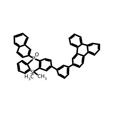 C[Si]1(C)c2ccccc2P(=O)(c2ccc3ccccc3c2)c2ccc(-c3cccc(-c4ccc5c6ccccc6c6ccccc6c5c4)c3)cc21